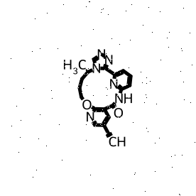 C#Cc1cnc2c(c1)C(=O)Nc1cccc(n1)-c1nncn1[C@@H](C)CCCO2